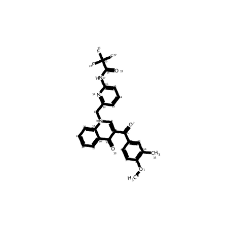 COc1ccc(C(=O)c2cn(Cc3cccc(NC(=O)C(F)(F)F)n3)c3ccccc3c2=O)cc1C